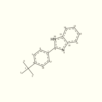 CC(C)(C)c1ccc(-c2nc3ccccc3[nH]2)cc1